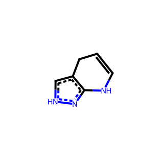 C1=CNc2n[nH]cc2C1